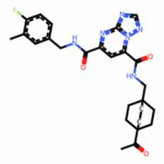 CC(=O)C12CCC(CNC(=O)c3cc(C(=O)NCc4ccc(F)c(C)c4)nc4ncnn34)(CC1)CC2